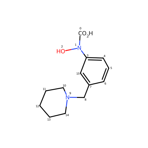 O=C(O)N(O)c1cccc(CN2CCCCC2)c1